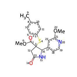 COC(=O)C1(Sc2ccc(C)cc2)CC(=O)NC1c1ccnc(OC)c1